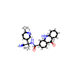 Cc1ccc(C(C)(C#N)NC(=O)c2ccc3c(=O)c4ccccc4[nH]c3c2)cn1